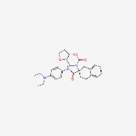 CCN(CC)c1ccc(NC(=O)C2(N(CC3CCCO3)C(=O)O)CCc3ccccc3C2)cc1